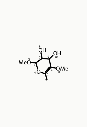 COC1=C(C)OC(OC)C(O)C1O